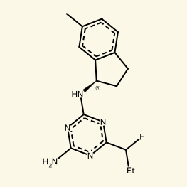 CCC(F)c1nc(N)nc(N[C@@H]2CCc3ccc(C)cc32)n1